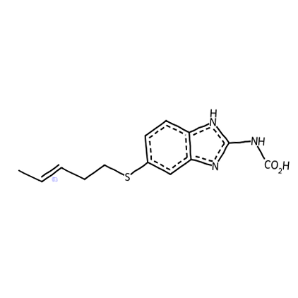 C/C=C/CCSc1ccc2[nH]c(NC(=O)O)nc2c1